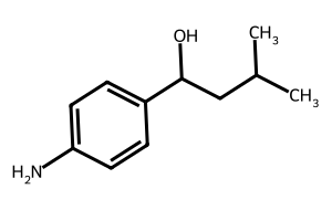 CC(C)CC(O)c1ccc(N)cc1